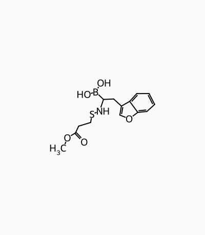 COC(=O)CCSNC(Cc1coc2ccccc12)B(O)O